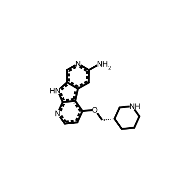 Nc1cc2c(cn1)[nH]c1nccc(OC[C@H]3CCCNC3)c12